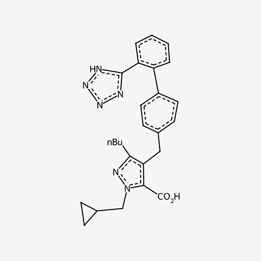 CCCCc1nn(CC2CC2)c(C(=O)O)c1Cc1ccc(-c2ccccc2-c2nnn[nH]2)cc1